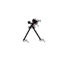 CCCCCCCCCCCCCCCCCC(=O)OCC(COC(=O)CCCCCCCCCCCCCCCCC)OC(=O)[C@H](CCc1ccccc1)N[C@@H](C)C(=O)N1[C@H](C(=O)O)C[C@@H]2CCC[C@@H]21